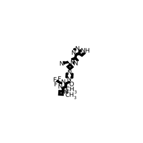 CN(C)C1(c2cc(C(=O)N3CCN([C@H]4C[C@](CC#N)(n5cc(-c6ncnc7[nH]ccc67)cn5)C4)CC3)nc(C(F)(F)F)n2)CCC1